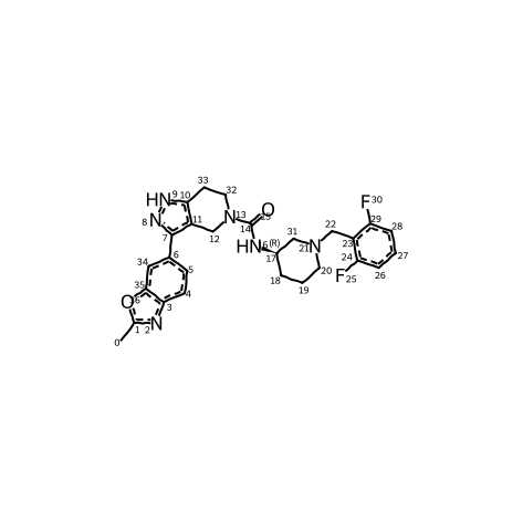 Cc1nc2ccc(-c3n[nH]c4c3CN(C(=O)N[C@@H]3CCCN(Cc5c(F)cccc5F)C3)CC4)cc2o1